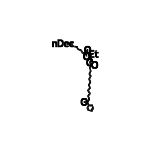 CCCCCCCCCCCCCCCC(=O)O[C@@H](CC)COC(=O)CCCCCCCCCCCCC(=O)c1ccccc1